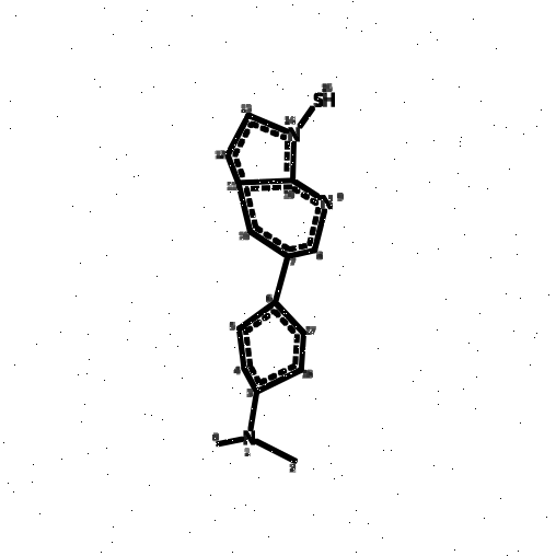 CN(C)c1ccc(-c2cnc3c(ccn3S)c2)cc1